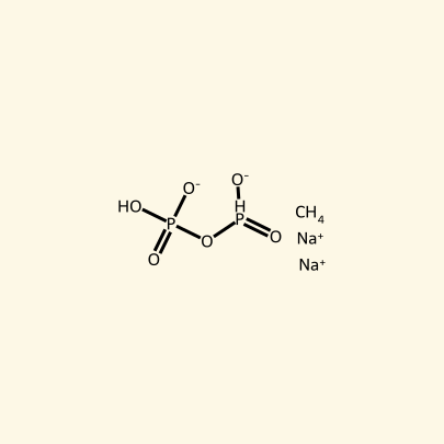 C.O=[PH]([O-])OP(=O)([O-])O.[Na+].[Na+]